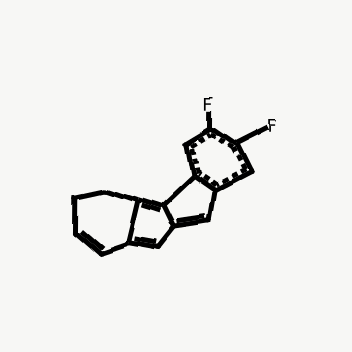 Fc1cc2c(cc1F)C1=C3CCC=CC3=CC1=C2